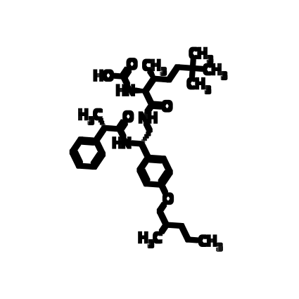 CCCC(C)COc1ccc([C@@H](CNC(=O)[C@@H](NC(=O)O)[C@@H](C)CCC(C)(C)C)NC(=O)[C@@H](C)c2ccccc2)cc1